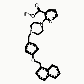 CC(C)OC(=O)c1cccnc1N1CCN(Cc2ccc(OCc3cccc4ccccc34)cc2)CC1